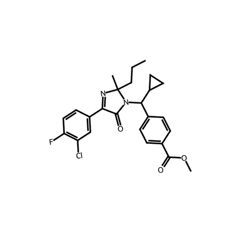 CCCC1(C)N=C(c2ccc(F)c(Cl)c2)C(=O)N1C(c1ccc(C(=O)OC)cc1)C1CC1